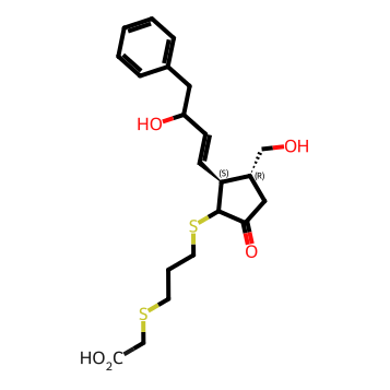 O=C(O)CSCCCSC1C(=O)C[C@@H](CO)[C@@H]1C=CC(O)Cc1ccccc1